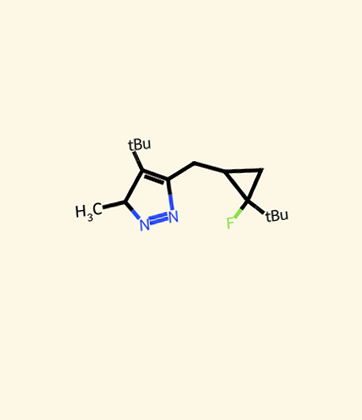 CC1N=NC(CC2CC2(F)C(C)(C)C)=C1C(C)(C)C